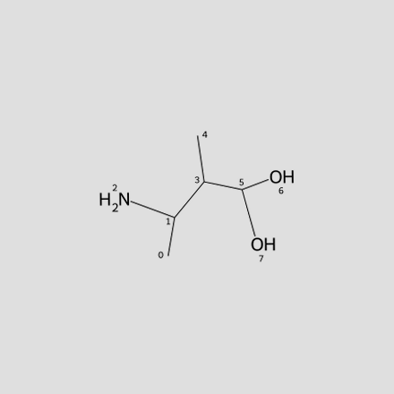 CC(N)C(C)C(O)O